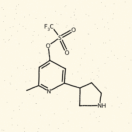 Cc1cc(OS(=O)(=O)C(F)(F)F)cc(C2CCNC2)n1